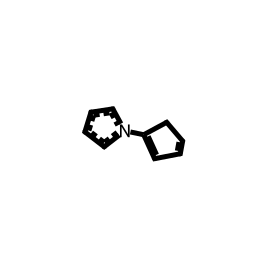 C1=CCC(n2cccc2)=C1